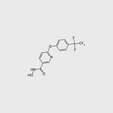 O=C(NO)c1ccc(Oc2ccc(C(F)(F)C(F)(F)F)cc2)nc1